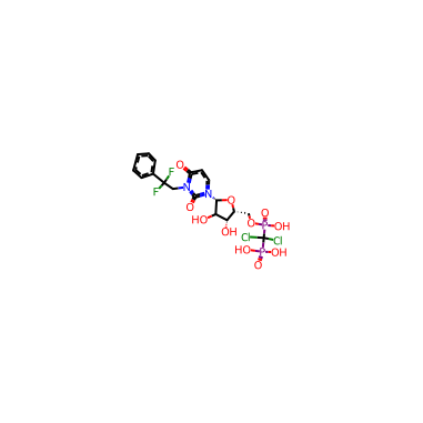 O=c1ccn([C@@H]2O[C@H](COP(=O)(O)C(Cl)(Cl)P(=O)(O)O)[C@H](O)C2O)c(=O)n1CC(F)(F)c1ccccc1